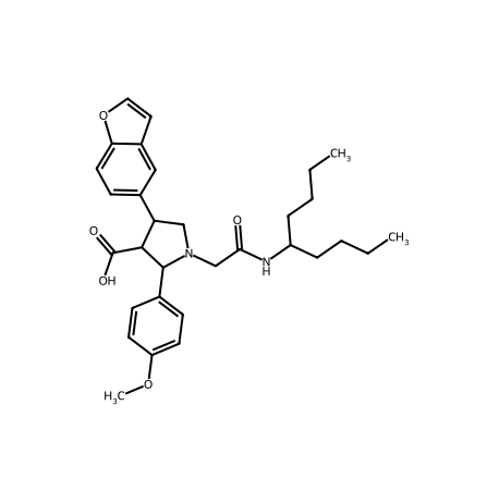 CCCCC(CCCC)NC(=O)CN1CC(c2ccc3occc3c2)C(C(=O)O)C1c1ccc(OC)cc1